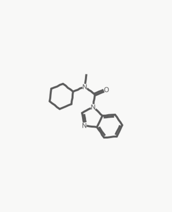 CN(C(=O)n1cnc2ccccc21)C1CCCCC1